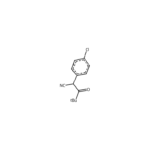 CC(C)(C)C(=O)C(C#N)c1ccc(Cl)cc1